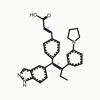 CC/C(=C(/c1ccc(/C=C/C(=O)O)cc1)c1ccc2[nH]ncc2c1)c1cccc(N2CCCC2)c1